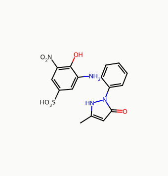 Cc1cc(=O)n(-c2ccccc2)[nH]1.Nc1cc(S(=O)(=O)O)cc([N+](=O)[O-])c1O